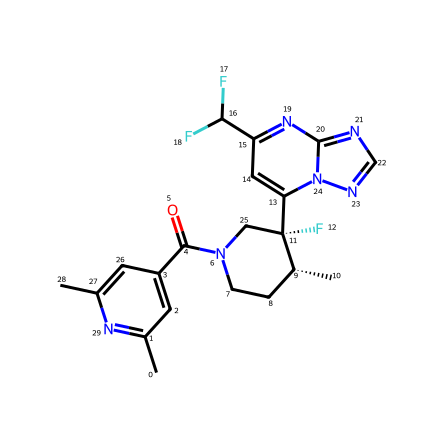 Cc1cc(C(=O)N2CC[C@@H](C)[C@](F)(c3cc(C(F)F)nc4ncnn34)C2)cc(C)n1